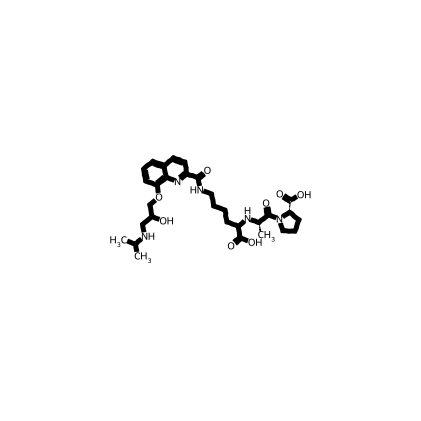 CC(C)NCC(O)COc1cccc2ccc(C(=O)NCCCCC(N[C@@H](C)C(=O)N3CCC[C@H]3C(=O)O)C(=O)O)nc12